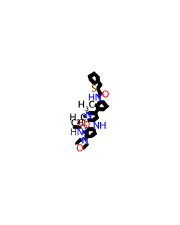 C=CC(=O)Nc1cc(Nc2cc(-c3cccc(NC(=O)c4cc5ccccc5s4)c3C)cn(C)c2=O)ccc1N1CCOCC1